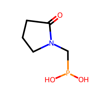 O=C1CCCN1CP(O)O